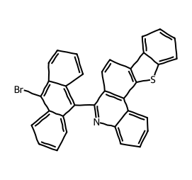 Brc1c2ccccc2c(-c2nc3ccccc3c3c2ccc2c4ccccc4sc23)c2ccccc12